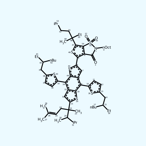 CCCCCCCCN1C(=O)c2c(-c3cc4c(-c5ccc(CC(CC)CCCC)s5)c5sc(C(C)(CC=C(C)C)C(C)C(C)C)cc5c(-c5ccc(CC(CC)CCCC)s5)c4s3)sc(C(C)(CC)CCC(C)C)c2S1(=O)=O